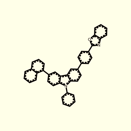 c1ccc(-n2c3ccc(-c4ccc(-c5nc6ccccc6o5)cc4)cc3c3cc(-c4cccc5ccccc45)ccc32)cc1